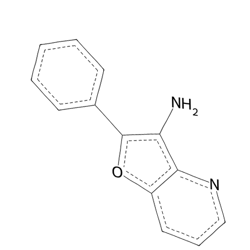 Nc1c(-c2ccccc2)oc2cccnc12